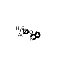 CC(=O)C1CC(Oc2cncc3ccccc23)CN1C